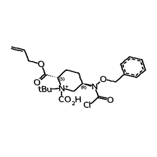 C=CCOC(=O)[C@@H]1CC[C@@H](N(OCc2ccccc2)C(=O)Cl)C[N+]1(C(=O)O)C(C)(C)C